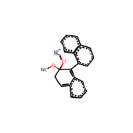 N#COC1(OC#N)CC=c2ccccc2=C1c1cccc2ccccc12